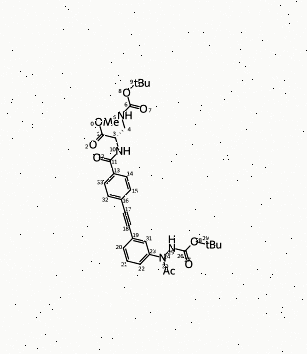 COC(=O)[C@H](CNC(=O)OC(C)(C)C)NC(=O)c1ccc(C#Cc2cccc(N(NC(=O)OC(C)(C)C)C(C)=O)c2)cc1